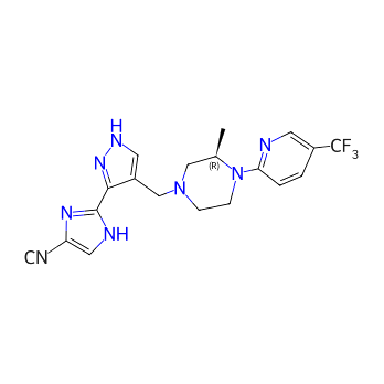 [C-]#[N+]c1c[nH]c(-c2n[nH]cc2CN2CCN(c3ccc(C(F)(F)F)cn3)[C@H](C)C2)n1